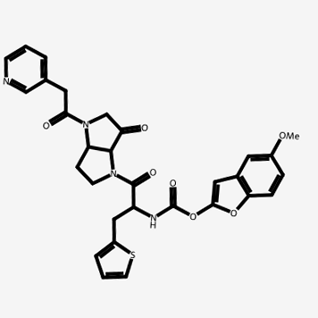 COc1ccc2oc(OC(=O)NC(Cc3cccs3)C(=O)N3CCC4C3C(=O)CN4C(=O)Cc3cccnc3)cc2c1